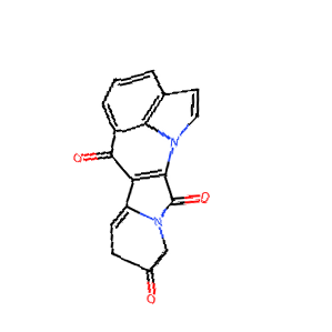 O=C1CC=c2c3c(=O)c4cccc5ccn(c3c(=O)n2C1)c54